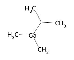 C[CH](C)[Ga]([CH3])[CH3]